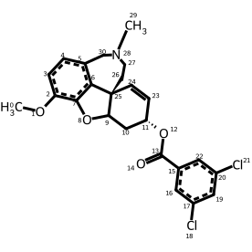 COc1ccc2c3c1OC1C[C@@H](OC(=O)c4cc(Cl)cc(Cl)c4)C=C[C@@]31CCN(C)C2